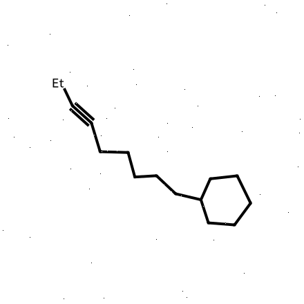 [CH2]CC#CCCCCCC1CCCCC1